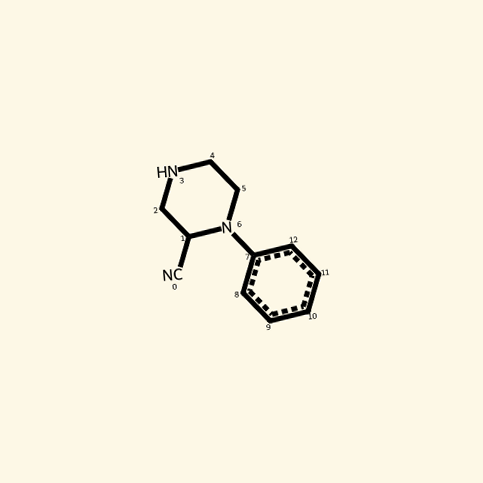 N#CC1CNCCN1c1ccccc1